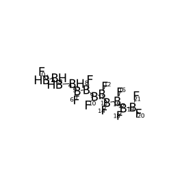 FBBBBB(F)B(F)B(F)B(F)B(F)B(F)B(F)B(F)F